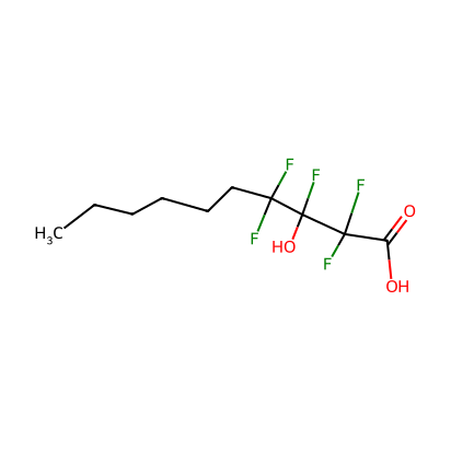 CCCCCCC(F)(F)C(O)(F)C(F)(F)C(=O)O